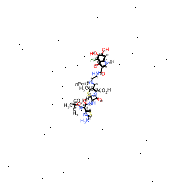 CCCCCN(CCNC(=O)c1cn(CC)c2cc(O)c(O)c(Cl)c2c1=O)CC1=C(C(=O)O)N2C(=O)C(NC(=O)/C(=N\OC(C)(C)C(=O)O)c3csc(N)n3)[C@H]2S[C@H]1C